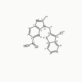 Cc1nc2ccc(C(=O)O)nc2n1Cc1sc2ccccc2c1Cl